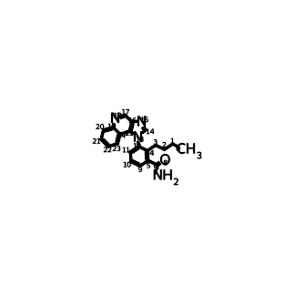 CCCCc1c(C(N)=O)cccc1-n1cnc2cnc3ccccc3c21